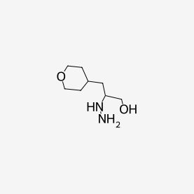 NNC(CO)CC1CCOCC1